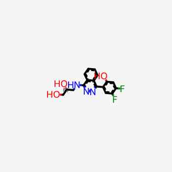 OC[C@H](O)CNc1nnc(-c2cc(F)c(F)cc2O)c2ccccc12